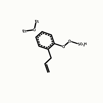 C=CCc1ccccc1OOS(=O)(=O)O.CCOCC